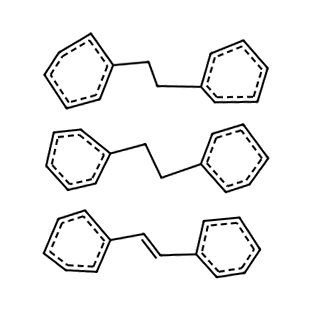 C(=C\c1ccccc1)/c1ccccc1.c1ccc(CCc2ccccc2)cc1.c1ccc(CCc2ccccc2)cc1